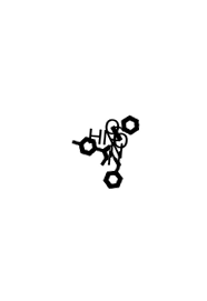 Cc1ccc(-c2c(NS(=O)(=O)c3ccccc3)nn(Cc3ccccc3)c2C)cc1